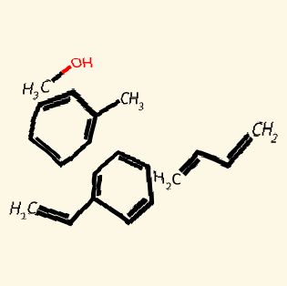 C=CC=C.C=Cc1ccccc1.CO.Cc1ccccc1